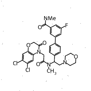 CNC(=O)c1cc(F)cc(-c2ccc(C(CN3CCOCC3)N(C)C(=O)CN3C(=O)COc4cc(Cl)c(Cl)cc43)cc2)c1